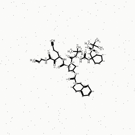 C#CCCC(NC(=O)[C@@H]1CC(OC(=O)N2CCc3ccccc3C2)CN1C(=O)[C@@H](NC(=O)NC1(CS(=O)(=O)C(C)(C)C)CCCCC1)C(C)(C)C)C(=O)C(=O)NCC=C